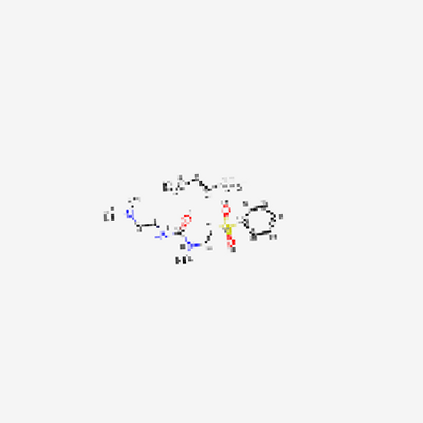 CCN(CC)CCNC(=O)N(CC)CCS(=O)(=O)c1ccccc1.O=C(O)/C=C/C(=O)O